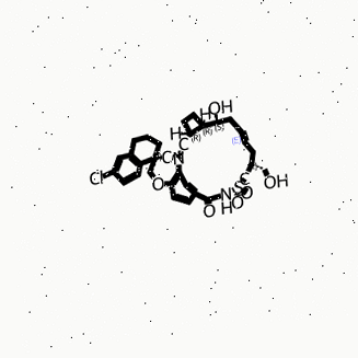 O=C1NS(=O)(=O)C[C@@H](CO)C/C=C/C[C@H](O)[C@@H]2CC[C@H]2CN2C[C@@]3(CCCc4cc(Cl)ccc43)COc3ccc1cc32